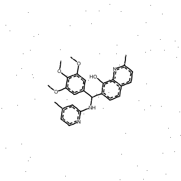 COc1cc(C(Nc2cc(C)ccn2)c2ccc3ccc(C)nc3c2O)cc(OC)c1OC